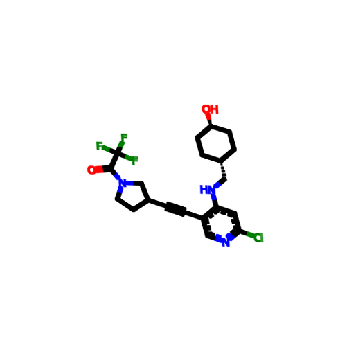 O=C(N1CCC(C#Cc2cnc(Cl)cc2NC[C@H]2CC[C@H](O)CC2)C1)C(F)(F)F